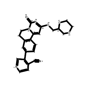 N#Cc1ccncc1-c1ccc2c(c1)CCn1c-2cc(OCC2COCCO2)nc1=O